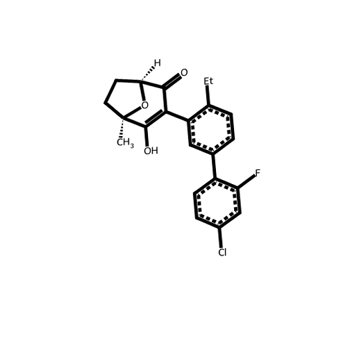 CCc1ccc(-c2ccc(Cl)cc2F)cc1C1=C(O)[C@@]2(C)CC[C@H](O2)C1=O